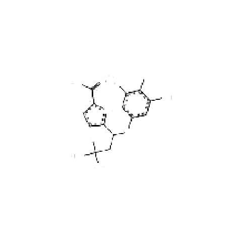 Cc1cc(SC(CC(C)(C)C)c2ccc(C(=O)O)s2)cc(C)c1Br